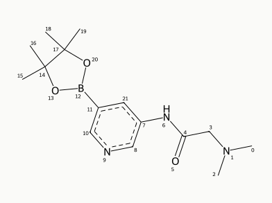 CN(C)CC(=O)Nc1cncc(B2OC(C)(C)C(C)(C)O2)c1